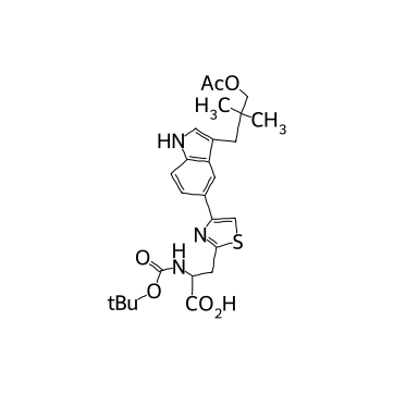 CC(=O)OCC(C)(C)Cc1c[nH]c2ccc(-c3csc(CC(NC(=O)OC(C)(C)C)C(=O)O)n3)cc12